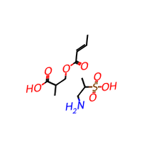 CC(CN)S(=O)(=O)O.CC=CC(=O)OCC(C)C(=O)O